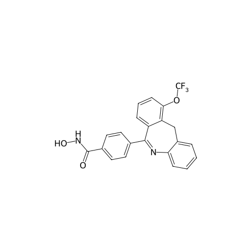 O=C(NO)c1ccc(C2=Nc3ccccc3Cc3c(OC(F)(F)F)cccc32)cc1